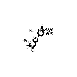 CN(Cc1cn(C2=CC3CN(C2)C(=O)N3OS(=O)(=O)[O-])nn1)C(=O)OC(C)(C)C.[Na+]